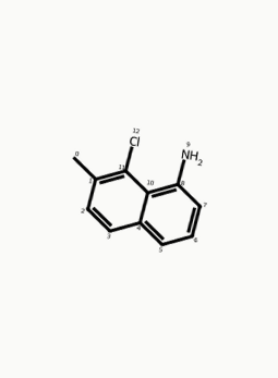 Cc1ccc2cccc(N)c2c1Cl